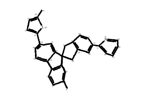 Cc1ccc2c(c1)C1(Cc3ccc(-c4ccccn4)cc3C1)c1cc(-c3ccc(C)s3)ccc1-2